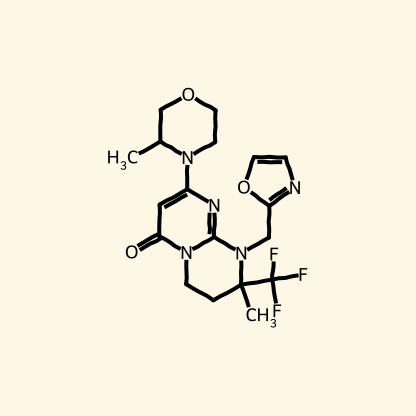 CC1COCCN1c1cc(=O)n2c(n1)N(Cc1ncco1)C(C)(C(F)(F)F)CC2